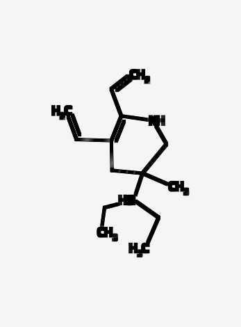 C=CC1=C(C=C)NCC(C)([SiH](CC)CC)C1